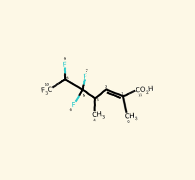 CC(=CC(C)C(F)(F)C(F)C(F)(F)F)C(=O)O